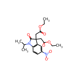 CCOC(=O)CC1(CC(=O)OCC)C(=O)N(C(C)C)c2ccc([N+](=O)[O-])cc21